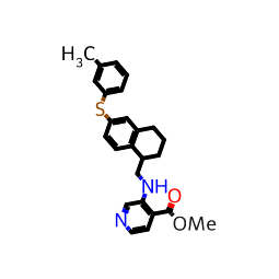 COC(=O)c1ccncc1NCC1CCCc2cc(Sc3cccc(C)c3)ccc21